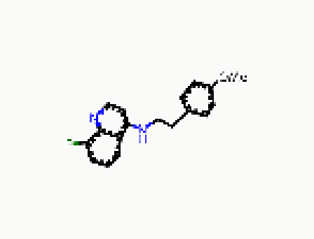 COc1ccc(CCNc2ccnc3c(F)cccc23)cc1